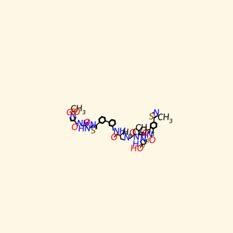 Cc1ncsc1-c1ccc(CNC(=O)[C@@H]2C[C@@H](O)CN2C(=O)[C@@H](NC(=O)CN2CCC(C(=O)NCc3cccc(-c4cccc(-c5csc(NC(=O)CNC(=O)c6ccn(S(C)(=O)=O)c6)n5)c4)c3)CC2)C(C)(C)C)cc1